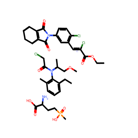 CCOC(=O)/C(Cl)=C/c1cc(N2C(=O)C3=C(CCCC3)C2=O)ccc1Cl.CCc1cccc(C)c1N(C(=O)CCl)C(C)COC.CP(=O)(O)CCC(N)C(=O)O